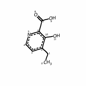 CCc1ccnc(C(=O)O)c1O